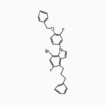 Fc1cc(-n2ccc3c(CCCc4ccccc4)c(F)cc(Br)c32)ccc1OCc1ccccc1